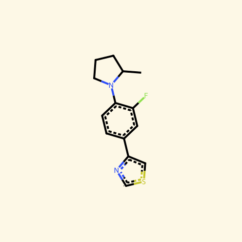 CC1CCCN1c1ccc(-c2cs[c]n2)cc1F